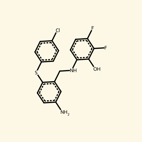 Nc1ccc(Sc2ccc(Cl)cc2)c(CNc2ccc(F)c(F)c2O)c1